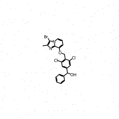 Cc1nc2c(OCc3c(Cl)cc(C(O)c4ccccc4)cc3Cl)cccn2c1Br